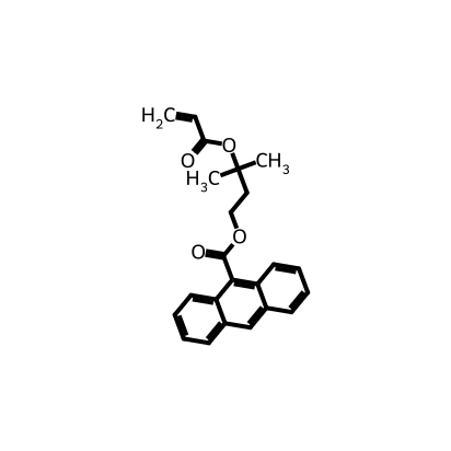 C=CC(=O)OC(C)(C)CCOC(=O)c1c2ccccc2cc2ccccc12